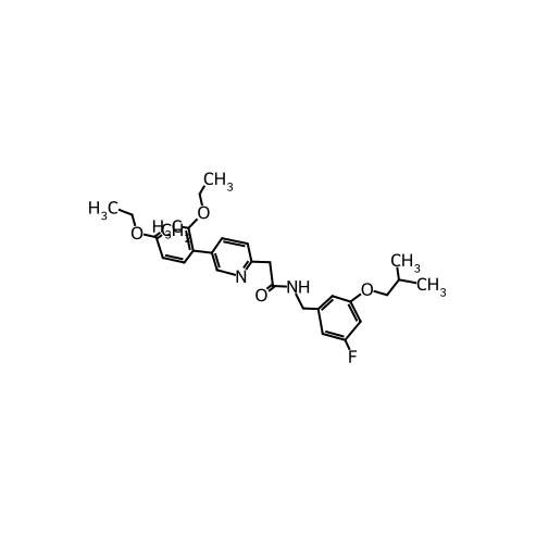 C=C(/C=C\C(=C(/C)OCC)c1ccc(CC(=O)NCc2cc(F)cc(OCC(C)C)c2)nc1)OCC